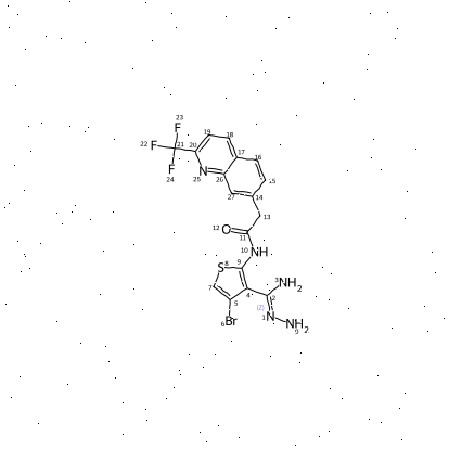 N/N=C(\N)c1c(Br)csc1NC(=O)Cc1ccc2ccc(C(F)(F)F)nc2c1